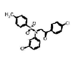 Cc1ccc(S(=O)(=O)N(CC(=O)c2ccc(Cl)cc2)c2[c]c(Cl)ccc2)cc1